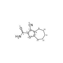 N#Cc1c(C(N)=O)sc2c1CCCCC2